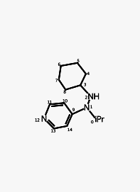 CC(C)N(NC1CCCCC1)c1ccncc1